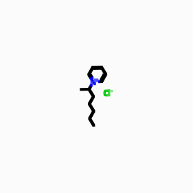 CCCCCC(C)[n+]1ccccc1.[Cl-]